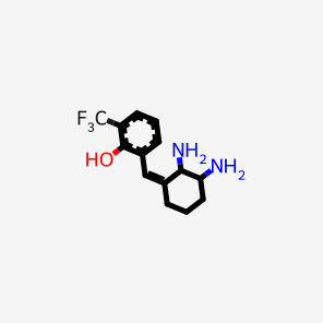 NC1CCCC(=Cc2cccc(C(F)(F)F)c2O)C1N